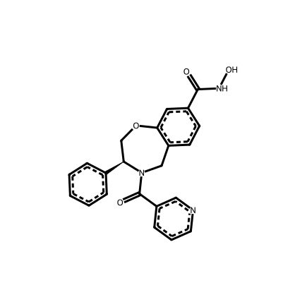 O=C(NO)c1ccc2c(c1)OC[C@H](c1ccccc1)N(C(=O)c1cccnc1)C2